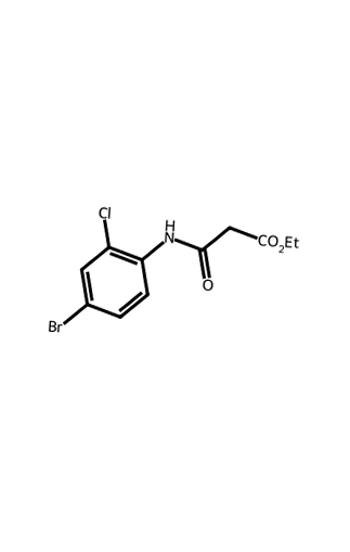 CCOC(=O)CC(=O)Nc1ccc(Br)cc1Cl